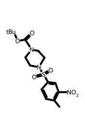 Cc1ccc(S(=O)(=O)N2CCN(C(=O)OC(C)(C)C)CC2)cc1[N+](=O)[O-]